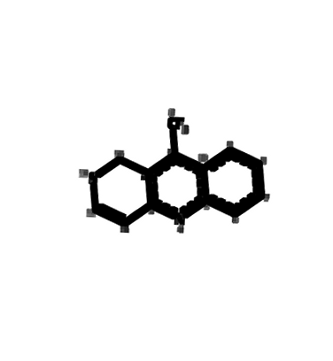 FC(F)(F)c1c2c(nc3ccccc13)C=CSC2